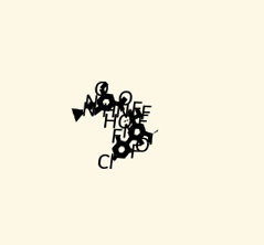 COc1cc(C(=O)NC[C@](O)(c2cc3c(c(-c4c(F)cc(Cl)cc4F)n2)OC[C@H]3C)C(F)(F)F)cc2cn(C3CC3)nc12